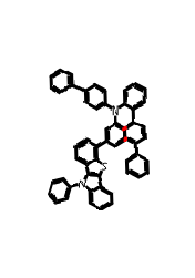 c1ccc(-c2ccc(-c3ccccc3N(c3ccc(-c4ccccc4)cc3)c3cccc(-c4cccc5c4sc4c6ccccc6n(-c6ccccc6)c54)c3)cc2)cc1